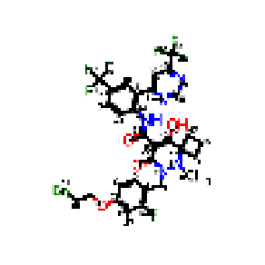 CN1N(Cc2ccc(OCCBr)c(F)c2F)C(=O)C(C(=O)Nc2ccc(C(F)(F)F)cc2-c2cc(C(F)(F)F)ncn2)=C(O)C12CCC2